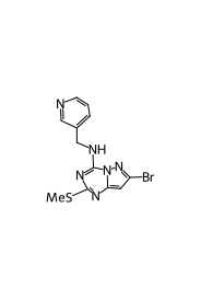 CSc1nc(NCc2cccnc2)n2nc(Br)cc2n1